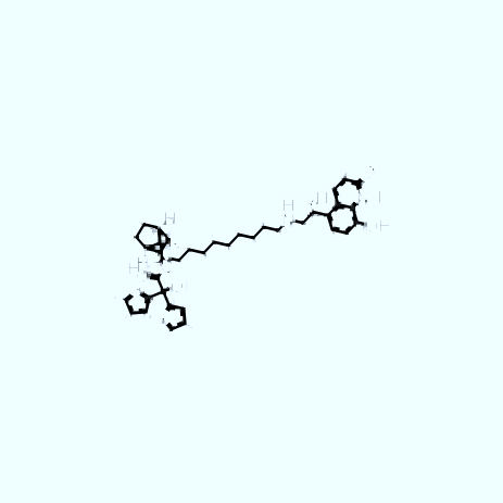 CN(CCCCCCCCCNC[C@H](O)c1ccc(O)c2[nH]c(=O)ccc12)[C@H]1[C@H]2CC[C@@H]1[C@H](OC(=O)C(O)(c1cccs1)c1cccs1)C2